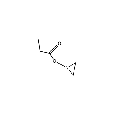 CCC(=O)ON1CC1